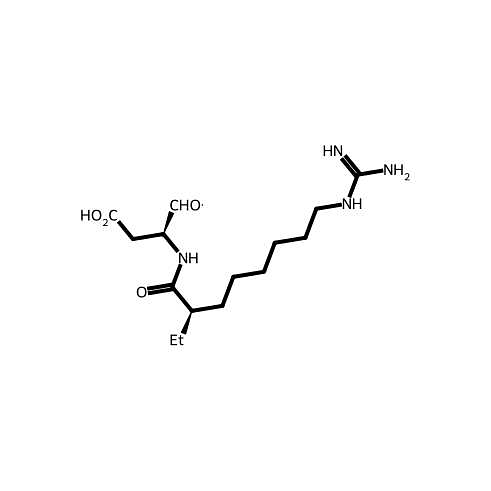 CC[C@H](CCCCCCNC(=N)N)C(=O)N[C@H]([C]=O)CC(=O)O